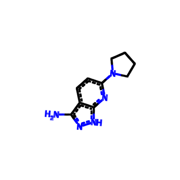 Nc1n[nH]c2nc(N3CCCC3)ccc12